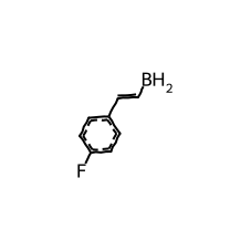 B/C=C/c1ccc(F)cc1